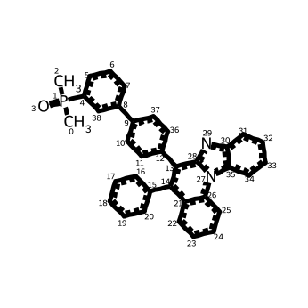 CP(C)(=O)c1cccc(-c2ccc(-c3c(-c4ccccc4)c4ccccc4n4c3nc3ccccc34)cc2)c1